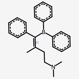 C/C(CCN(C)C)=C(/B(c1ccccc1)c1ccccc1)c1ccccc1